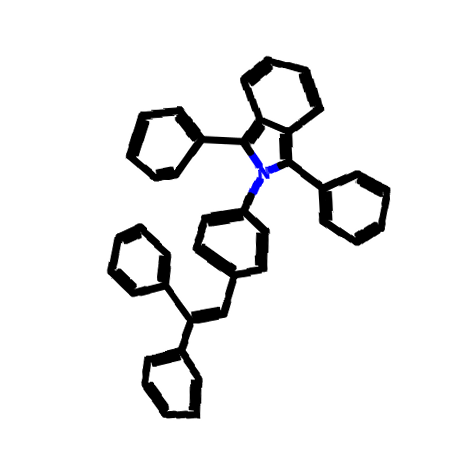 C(=C(c1ccccc1)c1ccccc1)c1ccc(-n2c(-c3ccccc3)c3ccccc3c2-c2ccccc2)cc1